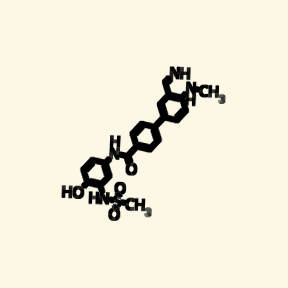 CNc1ccc(-c2ccc(C(=O)Nc3ccc(O)c(NS(C)(=O)=O)c3)cc2)cc1C=N